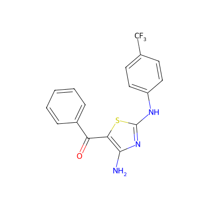 Nc1nc(Nc2ccc(C(F)(F)F)cc2)sc1C(=O)c1ccccc1